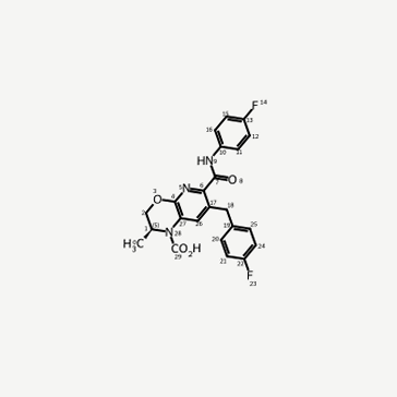 C[C@H]1COc2nc(C(=O)Nc3ccc(F)cc3)c(Cc3ccc(F)cc3)cc2N1C(=O)O